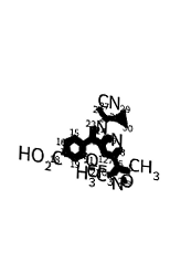 Cc1noc(C)c1-c1cnc2c(c1)c(-c1ccc(C(=O)O)cc1OC(F)(F)F)cn2C(CC#N)C1CC1